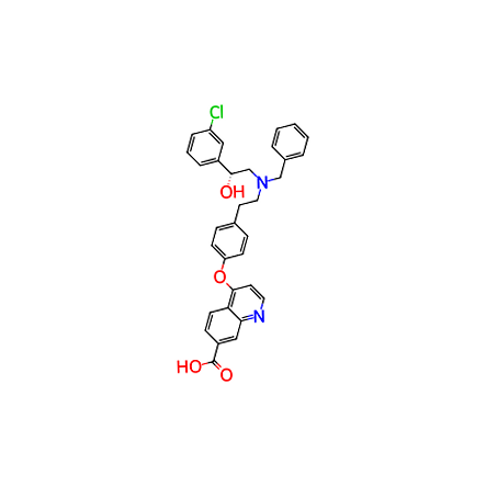 O=C(O)c1ccc2c(Oc3ccc(CCN(Cc4ccccc4)C[C@H](O)c4cccc(Cl)c4)cc3)ccnc2c1